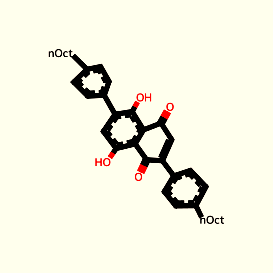 CCCCCCCCc1ccc(C2=CC(=O)c3c(O)c(-c4ccc(CCCCCCCC)cc4)cc(O)c3C2=O)cc1